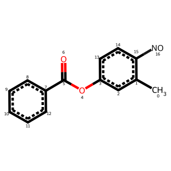 Cc1cc(OC(=O)c2ccccc2)ccc1N=O